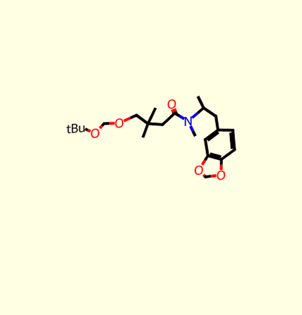 CC(Cc1ccc2c(c1)OCO2)N(C)C(=O)CC(C)(C)COCOC(C)(C)C